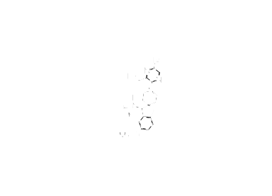 COc1ccc2c(c1)[C@@H](N[S+]([O-])C(C)(C)C)C1(CCN(c3ncc(Br)nc3CO)CC1)C2